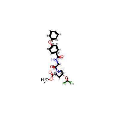 COC(=O)[C@@H]1C[C@@H](OC(F)F)CN1C(=O)CNC(=O)c1ccc(Oc2ccccc2)cc1